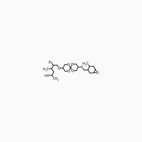 CCC(COC1COC2(OC1)OCC(OCC1CC3OC3CC1C)CO2)C(C)CC(C)O